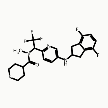 CN(C(=O)C1CCSCC1)C(c1ccc(NC2Cc3c(F)ccc(F)c3C2)cn1)C(F)(F)F